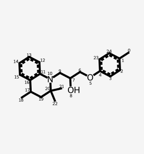 Cc1ccc(OCC(O)CN2c3ccccc3C(C)CC2(C)C)cc1